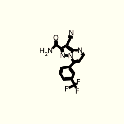 N#Cc1c(C(N)=O)nn2c(-c3cccc(C(F)(F)F)c3)ccnc12